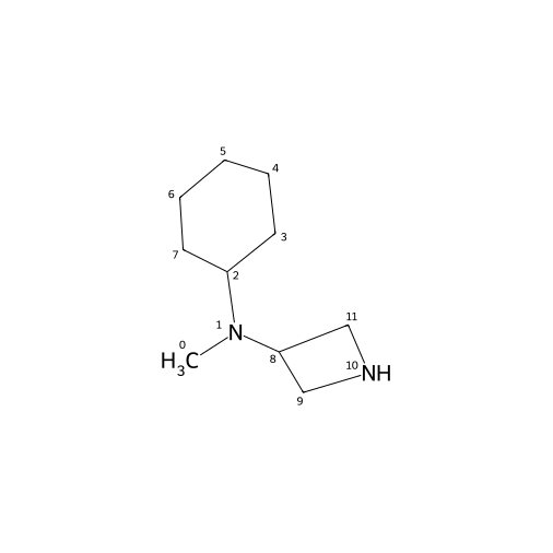 CN(C1CCCCC1)C1CNC1